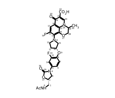 CC(=O)NC[C@H]1CN(c2ccc(O[C@@H]3CCN(c4c(F)cc5c(=O)c(C(=O)O)cn6c5c4OCC6C)C3)c(F)c2)C(=O)O1